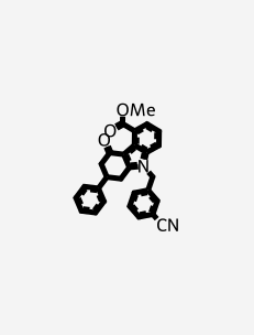 COC(=O)c1cccc2c1c1c(n2Cc2cccc(C#N)c2)CC(c2ccccc2)CC1=O